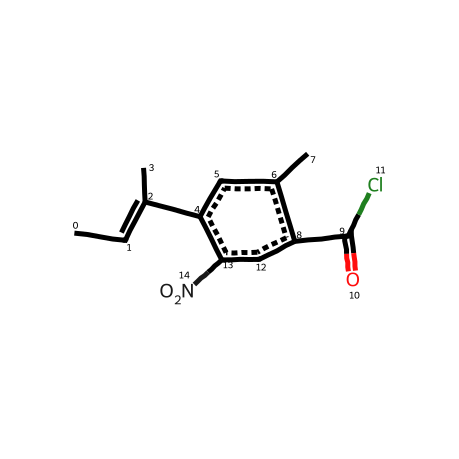 CC=C(C)c1cc(C)c(C(=O)Cl)cc1[N+](=O)[O-]